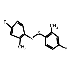 Cc1cc(F)ccc1SSc1ccc(F)cc1C